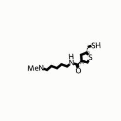 CNCCCCCNC(=O)[C@@H]1CS[C@@H](CS)C1